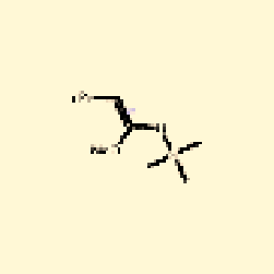 CCC/C=C(\OC)O[Si](C)(C)C